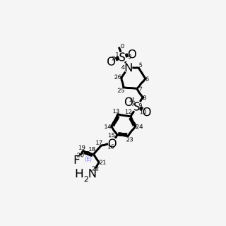 CS(=O)(=O)N1CCC(CS(=O)(=O)c2ccc(OC/C(=C/F)CN)cc2)CC1